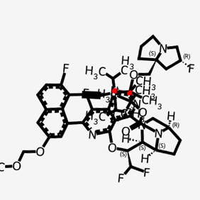 COCOc1cc(-c2nc3c4c(nc(OC[C@@]56CCCN5C[C@H](F)C6)nc4c2F)N2C[C@H]4CC[C@@H]([C@H]2[C@@H](C(F)F)O3)N4C(=O)OC(C)(C)C)c2c(C#C[Si](C(C)C)(C(C)C)C(C)C)c(F)ccc2c1